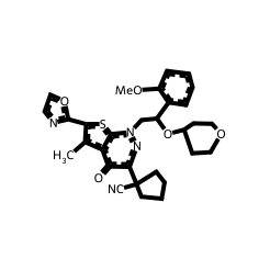 COc1ccccc1C(Cn1nc(C2(C#N)CCCC2)c(=O)c2c(C)c(-c3ncco3)sc21)OC1CCOCC1